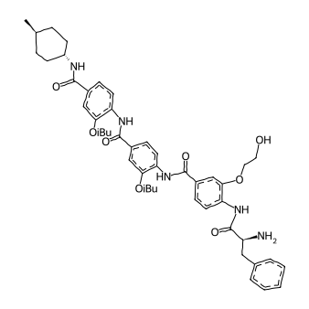 CC(C)COc1cc(C(=O)Nc2ccc(C(=O)N[C@H]3CC[C@H](C)CC3)cc2OCC(C)C)ccc1NC(=O)c1ccc(NC(=O)[C@@H](N)Cc2ccccc2)c(OCCO)c1